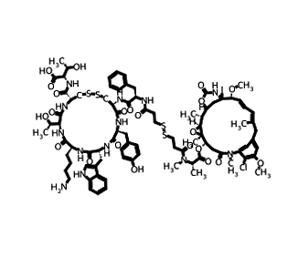 COc1cc2cc(c1Cl)N(C)C(=O)C[C@H](OC(=O)[C@H](C)N(C)C(=O)CCSSCCC(=O)N[C@H](Cc1ccccc1)C(=O)N[C@H]1CSSC[C@@H](C(=O)N[C@H](C(=O)O)[C@@H](C)O)NC(=O)[C@H]([C@@H](C)O)NC(=O)[C@H](CCCCN)NC(=O)[C@@H](Cc3c[nH]c4ccccc34)NC(=O)[C@H](Cc3ccc(O)cc3)NC1=O)[C@]1(C)O[C@H]1[C@H](C)[C@@H]1CC(I)(NC(=O)O1)[C@H](OC)/C=C/C=C(\C)C2